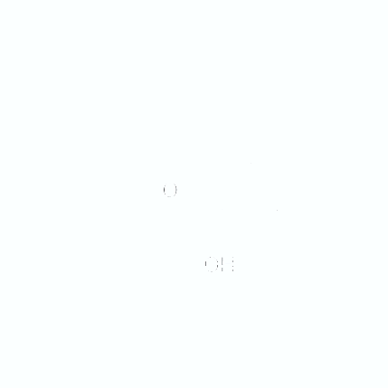 CCOC1(O)CC1